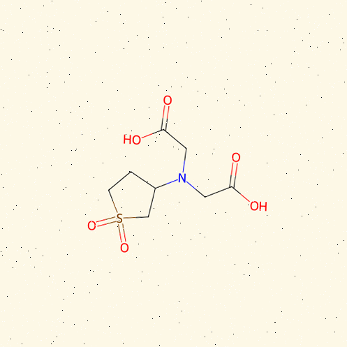 O=C(O)CN(CC(=O)O)C1CCS(=O)(=O)C1